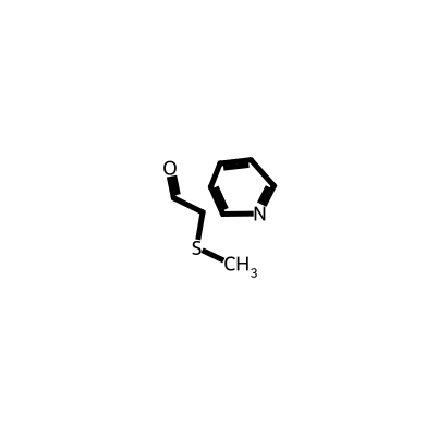 CSCC=O.c1ccncc1